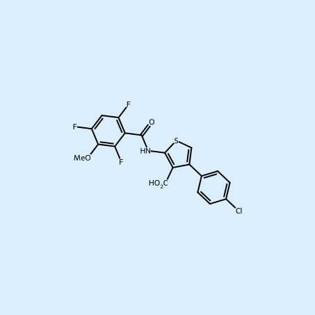 COc1c(F)cc(F)c(C(=O)Nc2scc(-c3ccc(Cl)cc3)c2C(=O)O)c1F